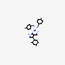 Cc1ccc(CN(Cc2ccc(C)cc2)c2nc3c(c(-c4c(C)cc(C)cc4C)cn3C)c(=O)n2C)cc1